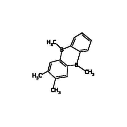 CB1c2ccccc2B(C)c2cc(C)c(C)cc21